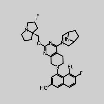 CCc1c(F)ccc2cc(O)cc(N3CCc4c(nc(OC[C@@]56CCCN5C[C@H](F)C6)nc4N4CC5CCC(C4)N5)C3)c12